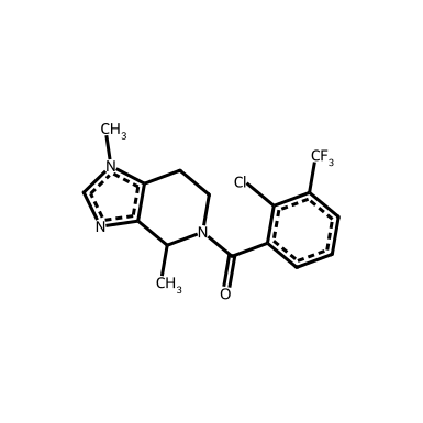 CC1c2ncn(C)c2CCN1C(=O)c1cccc(C(F)(F)F)c1Cl